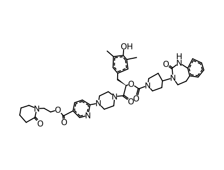 Cc1cc(C[C@@H](OC(=O)N2CCC(N3CCc4ccccc4NC3=O)CC2)C(=O)N2CCN(c3ccc(C(=O)OCCN4CCCCC4=O)cn3)CC2)cc(C)c1O